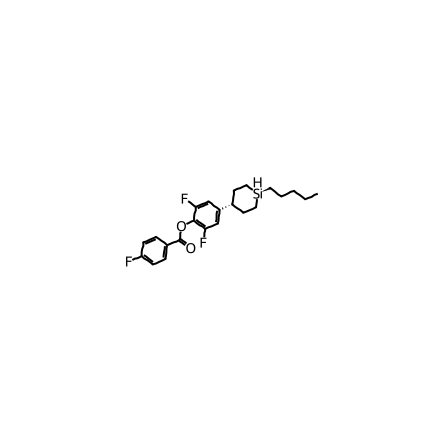 CCCCC[Si@H]1CC[C@H](c2cc(F)c(OC(=O)c3ccc(F)cc3)c(F)c2)CC1